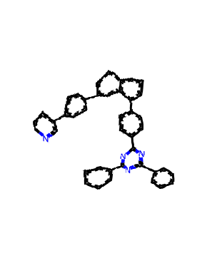 c1ccc(-c2nc(-c3ccccc3)nc(-c3ccc(-c4cccc5ccc(-c6ccc(-c7cccnc7)cc6)cc45)cc3)n2)cc1